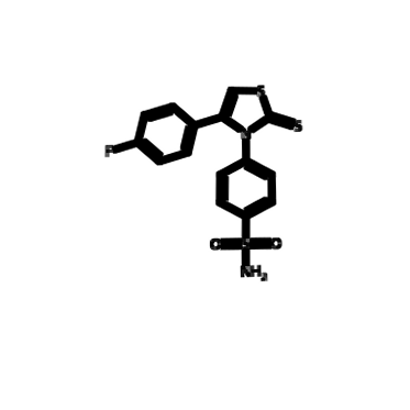 NS(=O)(=O)c1ccc(-n2c(-c3ccc(F)cc3)csc2=S)cc1